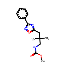 CC(C)(CNC(=O)OC(C)(C)C)Cc1nc(-c2ccccc2)no1